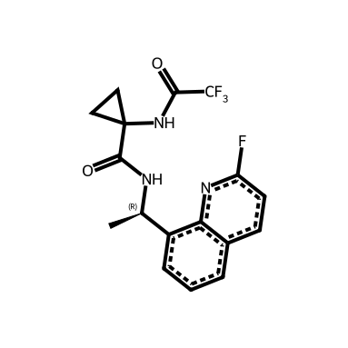 C[C@@H](NC(=O)C1(NC(=O)C(F)(F)F)CC1)c1cccc2ccc(F)nc12